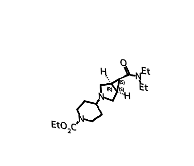 CCOC(=O)N1CCC(N2C[C@@H]3[C@H](C2)[C@@H]3C(=O)N(CC)CC)CC1